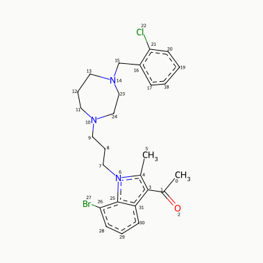 CC(=O)c1c(C)n(CCCN2CCCN(Cc3ccccc3Cl)CC2)c2c(Br)cccc12